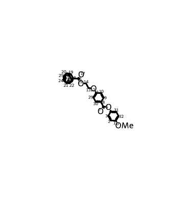 COc1ccc(OC(=O)c2ccc(OCCOC(=O)[C]34[CH]5[CH]6[CH]7[CH]3[Fe]6754389%10[CH]4[CH]3[CH]8[CH]9[CH]4%10)cc2)cc1